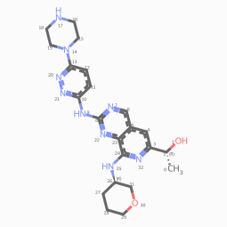 C[C@@H](O)c1cc2cnc(Nc3ccc(N4CCNCC4)nn3)nc2c(N[C@@H]2CCCOC2)n1